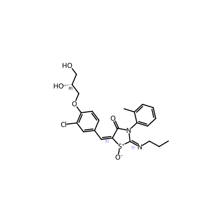 CCC/N=C1\N(c2ccccc2C)C(=O)/C(=C\c2ccc(OC[C@H](O)CO)c(Cl)c2)[S+]1[O-]